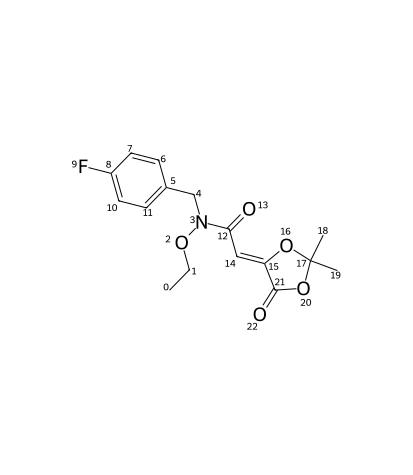 CCON(Cc1ccc(F)cc1)C(=O)C=C1OC(C)(C)OC1=O